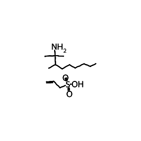 C=CCS(=O)(=O)O.CCCCCCC(C)C(C)(C)N